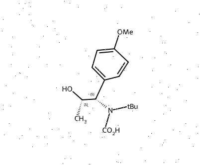 COc1ccc([C@@H]([C@H](C)O)N(C(=O)O)C(C)(C)C)cc1